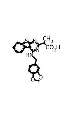 CC(C(=O)O)c1nc(NCc2ccc3c(c2)OCO3)c2c(n1)sc1ccccc12